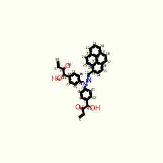 C=CC(=O)C(O)c1ccc(N(N=Cc2ccc3ccc4cccc5ccc2c3c45)c2ccc(C(O)C(=O)C=C)cc2)cc1